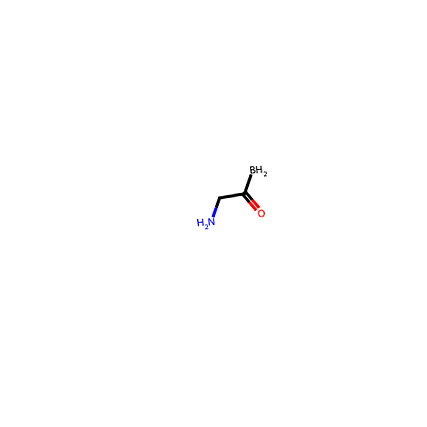 BC(=O)CN